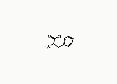 CC(Cc1ccccc1)C(=O)Cl